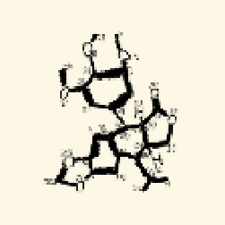 COc1cc([C@@H]2c3cc4c(cc3C(=C(C)C)[C@H]3COC(=O)[C@H]23)OCO4)cc(OC)c1OC